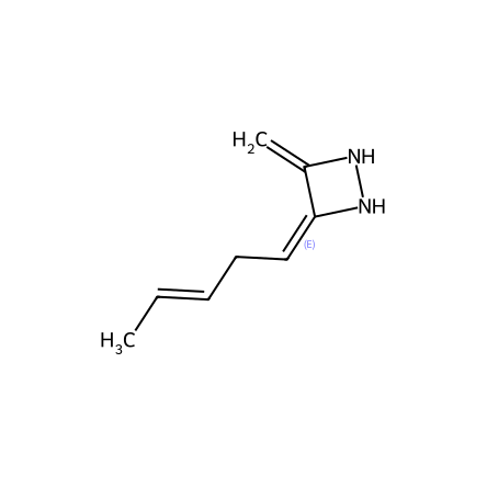 C=c1[nH][nH]/c1=C/CC=CC